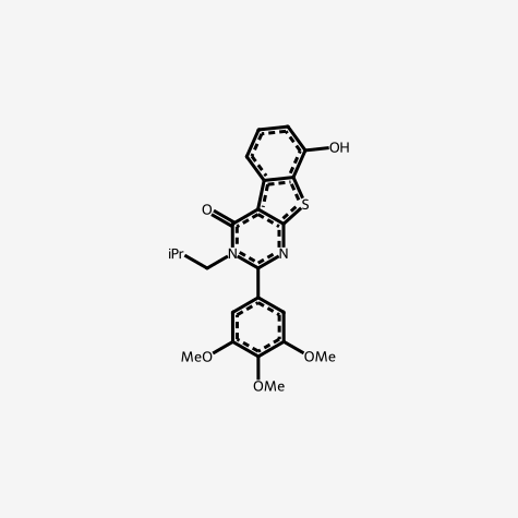 COc1cc(-c2nc3sc4c(O)cccc4c3c(=O)n2CC(C)C)cc(OC)c1OC